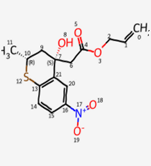 C=CCOC(=O)C[C@]1(O)C[C@@H](C)Sc2ccc([N+](=O)[O-])cc21